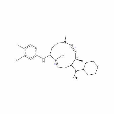 CCCN(C1CCCCC1)C1C/C=C(\CC)C(Nc2ccc(F)c(Cl)c2)CCN(C)/N=N\[C@H]1C